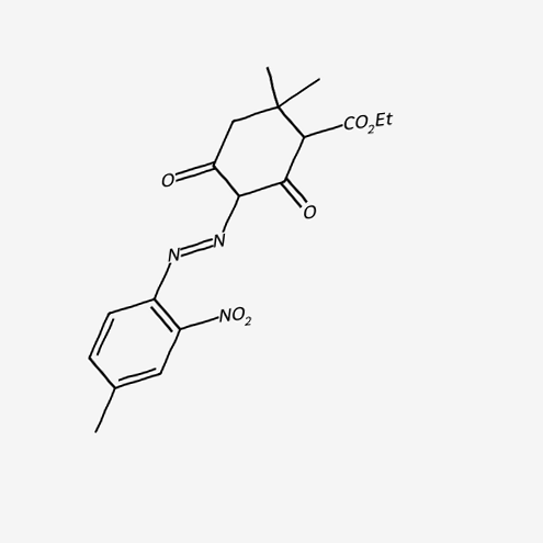 CCOC(=O)C1C(=O)C(N=Nc2ccc(C)cc2[N+](=O)[O-])C(=O)CC1(C)C